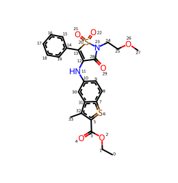 CCOC(=O)c1sc2ccc(NC3=C(c4ccccc4)S(=O)(=O)N(CCOC)C3=O)cc2c1C